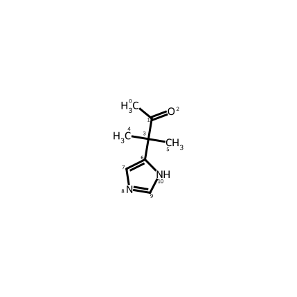 CC(=O)C(C)(C)c1cnc[nH]1